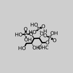 O=C[C@@H](OP(=O)(O)O)[C@@H](OP(=O)(O)O)[C@H](OP(=O)(O)O)[C@H](O)CO